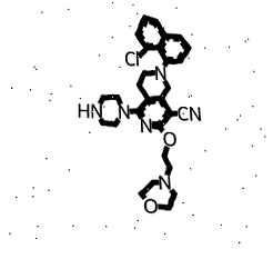 N#Cc1c(OCCN2CCOCC2)nc(N2CCNCC2)c2c1CN(c1cccc3cccc(Cl)c13)CC2